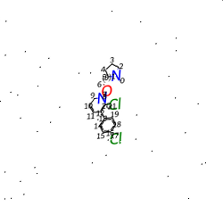 CN1CCC[C@H]1CON1CC=CC(c2ccc(Cl)cc2)=C1Cl